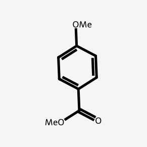 [CH2]Oc1ccc(C(=O)OC)cc1